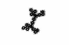 c1ccc(-c2c3ccccc3c(-c3cc(-c4ccc(-c5cccc6cccnc56)cc4)nc(-c4ccc(-c5ccc(-c6nc(-c7ccc(-c8cccc9cccnc89)cc7)cc(-c7c8ccccc8c(-c8ccccc8)c8ccccc78)n6)cc5)cc4)n3)c3ccccc23)cc1